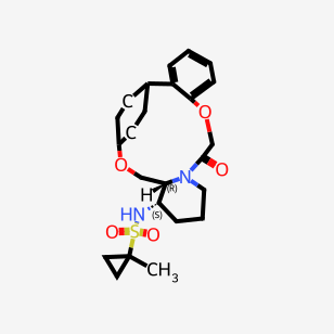 CC1(S(=O)(=O)N[C@H]2CCCN3C(=O)COc4ccccc4C4CCC(CC4)OC[C@@H]23)CC1